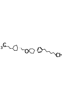 CCCCCCCc1ccc([C@H]2CC[C@H](OCCC[C@H]3CC[C@H](CCCC)CC3)CC2)cc1